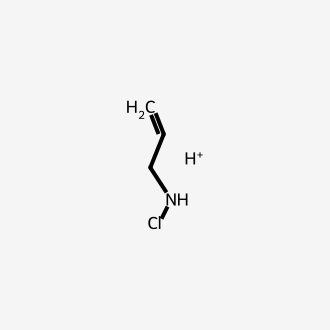 C=CCNCl.[H+]